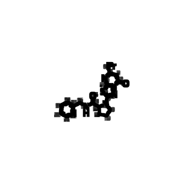 CC(C)c1cc(=O)n2nc(N3CCCC3C(=O)NCc3ccccn3)sc2n1